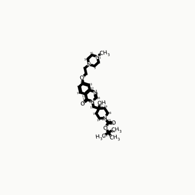 CN1CCN(CCOc2ccc3c(=O)n(CC4(O)CCN(C(=O)OC(C)(C)C)CC4)cnc3c2)CC1